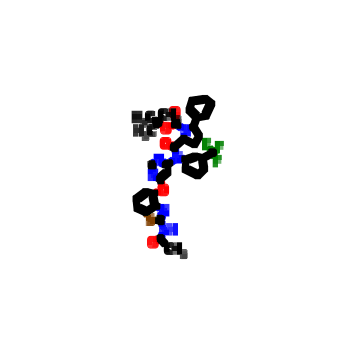 CC(=O)Nc1nc2c(Oc3cc(N(C(=O)C4CCC(c5ccccc5)N4C(=O)OC(C)(C)C)c4cccc(C(F)(F)F)c4)ncn3)cccc2s1